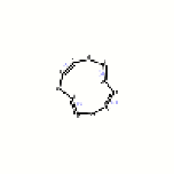 [C]1=C\C=C\C/C=C\C/C=C/C/1